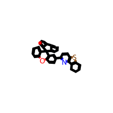 C1=Cc2sc3ccc(-c4ccc5c(c4)C4(c6ccccc6O5)c5ccccc5-c5ccccc54)nc3c2CC1